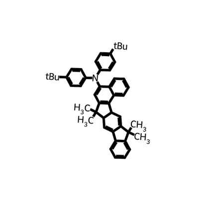 CC(C)(C)c1ccc(N(c2ccc(C(C)(C)C)cc2)c2cc3c(c4ccccc24)C2C=C4C(=CC2C3(C)C)c2ccccc2C4(C)C)cc1